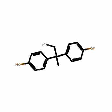 CC(C)CC(C)(c1ccc(S)cc1)c1ccc(S)cc1